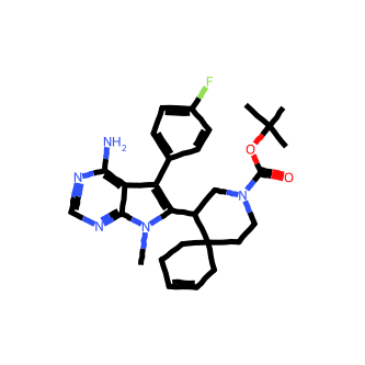 Cn1c(C2CN(C(=O)OC(C)(C)C)CCC23CC=CCC3)c(-c2ccc(F)cc2)c2c(N)ncnc21